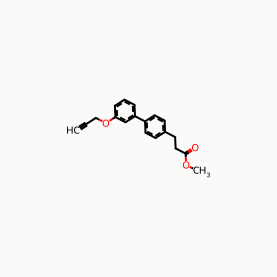 C#CCOc1cccc(-c2ccc(CCC(=O)OC)cc2)c1